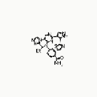 CCC1c2nncn2-c2cnc(-c3cn[nH]c3-c3nccs3)nc2N1c1ccc(C(N)=O)cc1